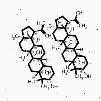 C=C(C)[C@@H]1CC[C@]2(C)CC[C@]3(C)[C@H](CC[C@@H]4[C@@]5(C)CC[C@H](O)C(C)(C)[C@@H]5CC[C@]43C)[C@@H]12.C=C(C)[C@@H]1CC[C@]2(C)CC[C@]3(C)[C@H](CC[C@@H]4[C@@]5(C)CC[C@H](O)C(C)(C)[C@@H]5CC[C@]43C)[C@@H]12